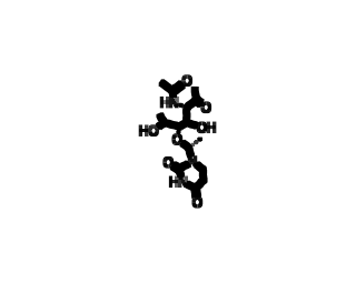 CC(=O)N[C@H](C(C)=O)C(O)[C@H](O[C@H](C)N1CCC(=O)NC1=O)C(C)O